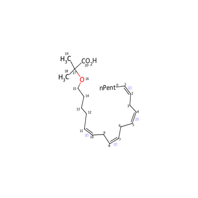 CCCCC/C=C\C/C=C\C/C=C\C/C=C\CCCCOC(C)(C)C(=O)O